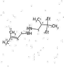 CCC(C)(CC)C(C)CNBCC=C(C)C